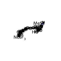 C=N/C(C)=C(\SC)c1ccc(CNC(=O)[C@@H]2C[C@@H](O)CN2C(=O)[C@@H](NC(=O)COCCOCCOc2ccc(-c3ccc(N4C(=S)N(c5ccc(C#N)c(C(F)(F)F)c5)C(=O)C4(C)C)cc3)cc2)C(C)(C)C)cc1